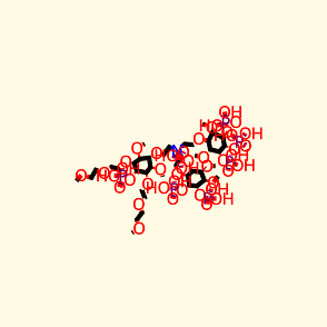 COCCOCCO[C@@H]1[C@@H](OC)[C@@H](OCCN(CCOC2[C@@H](OC)[C@H](OP(=O)(O)O)[C@@H](OP(=O)(O)O)[C@H](OP(=O)(O)O)[C@H]2OC)CCO[C@H]2[C@@H](OP(=O)(O)O)[C@H](OC)[C@@H](OC)[C@H](OP(=O)(O)O)[C@H]2OP(=O)(O)O)[C@@H](OC)[C@H](OCCOCCOC)[C@H]1OP(=O)(O)O